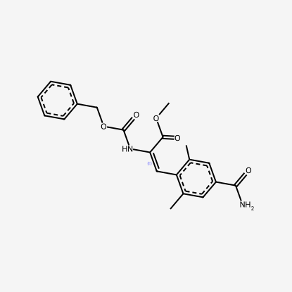 COC(=O)/C(=C\c1c(C)cc(C(N)=O)cc1C)NC(=O)OCc1ccccc1